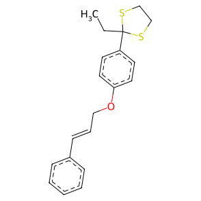 CCC1(c2ccc(OCC=Cc3ccccc3)cc2)SCCS1